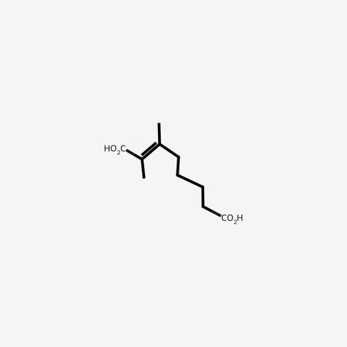 CC(CCCCC(=O)O)=C(C)C(=O)O